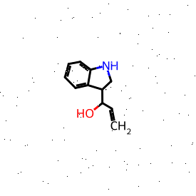 C=CC(O)[C]1CNc2ccccc21